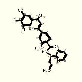 C=CCN(NC(=O)c1ccc(C(F)=CC(c2cc(Cl)c(Cl)c(Cl)c2)C(F)(F)F)cc1C(F)(F)F)c1ncccn1